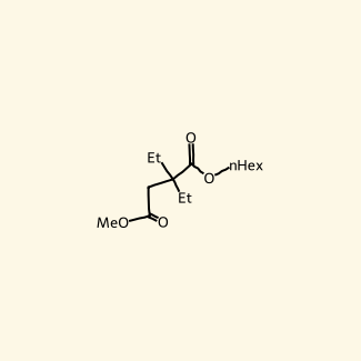 CCCCCCOC(=O)C(CC)(CC)CC(=O)OC